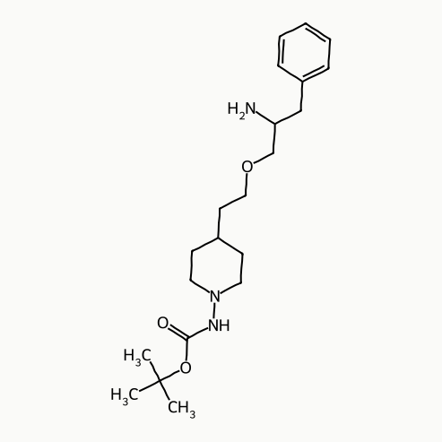 CC(C)(C)OC(=O)NN1CCC(CCOCC(N)Cc2ccccc2)CC1